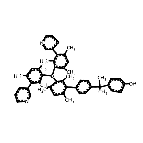 Cc1cc(C)c(-c2ccc(C(C)(C)c3ccc(O)cc3)cc2)c(C)c1B(c1c(C)cc(C)c(-c2cccnc2)c1C)c1c(C)cc(C)c(-c2cccnc2)c1C